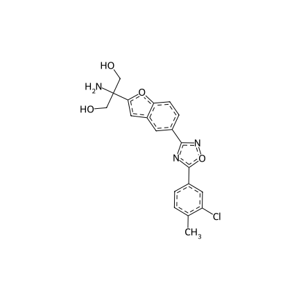 Cc1ccc(-c2nc(-c3ccc4oc(C(N)(CO)CO)cc4c3)no2)cc1Cl